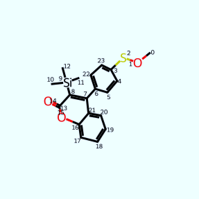 COSc1ccc(-c2c([Si](C)(C)C)c(=O)oc3ccccc23)cc1